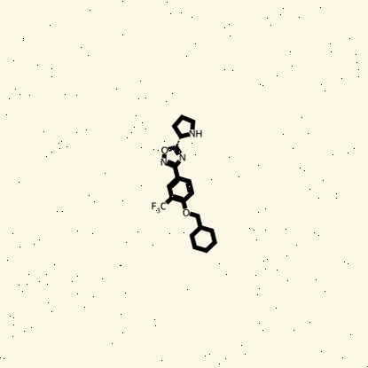 FC(F)(F)c1cc(-c2noc([C@@H]3CCCN3)n2)ccc1OCC1CCCCC1